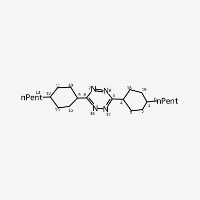 CCCCCC1CCC(c2nnc(C3CCC(CCCCC)CC3)nn2)CC1